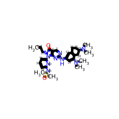 C=CCn1c(=O)c2cnc(Nc3cc4c(c(N(C)C)c3)CC(N(C)C)CC4)nc2n1-c1cccc(N=S(C)(C)=O)n1